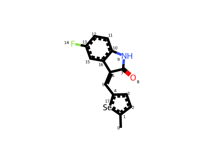 Cc1ccc(/C=C2\C(=O)Nc3ccc(F)cc32)[se]1